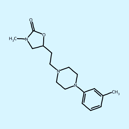 Cc1cccc(N2CCN(CCC3CN(C)C(=O)O3)CC2)c1